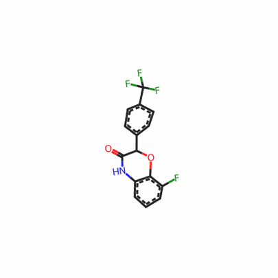 O=C1Nc2cccc(F)c2OC1c1ccc(C(F)(F)F)cc1